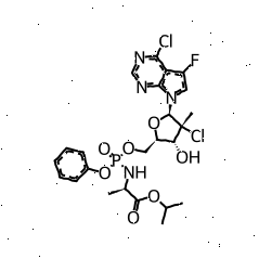 CC(C)OC(=O)[C@@H](C)N[P@](=O)(OC[C@H]1O[C@@H](n2cc(F)c3c(Cl)ncnc32)[C@](C)(Cl)[C@@H]1O)Oc1ccccc1